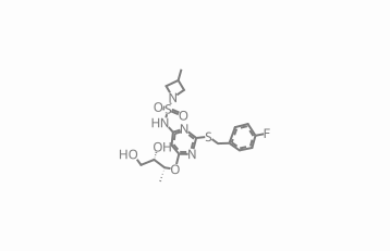 CC1CN(S(=O)(=O)Nc2cc(O[C@H](C)[C@@H](O)CO)nc(SCc3ccc(F)cc3)n2)C1